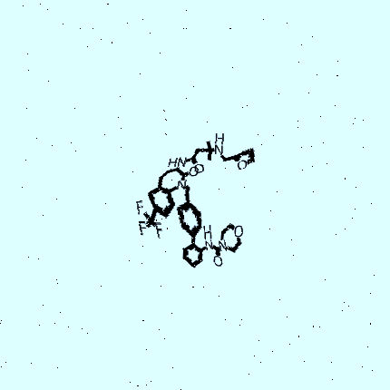 CC(C)(CC(=O)N[C@@H]1CCc2cc(C(F)(F)F)ccc2N(Cc2ccc(-c3ccccc3NC(=O)N3CCOCC3)cc2)C1=O)NCc1ccco1